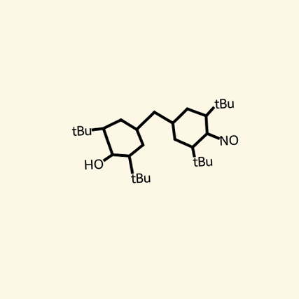 CC(C)(C)C1CC(CC2CC(C(C)(C)C)C(N=O)C(C(C)(C)C)C2)CC(C(C)(C)C)C1O